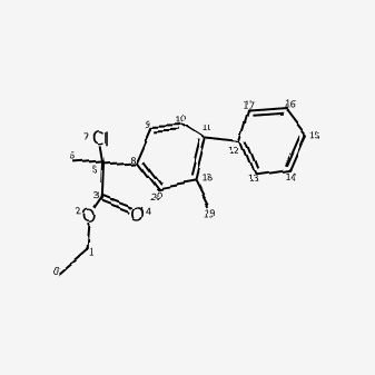 CCOC(=O)C(C)(Cl)c1ccc(-c2ccccc2)c(C)c1